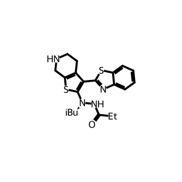 CCC(=O)NN(c1sc2c(c1-c1nc3ccccc3s1)CCNC2)[C@@H](C)CC